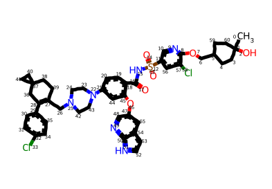 CC1(O)CCC(COc2ncc(S(=O)(=O)NC(=O)c3ccc(N4CCN(CC5=C(c6ccc(Cl)cc6)CC6(CC5)CC6)CC4)cc3Oc3cnc4[nH]ccc4c3)cc2Cl)CC1